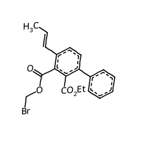 CC=Cc1ccc(-c2ccccc2)c(C(=O)OCC)c1C(=O)OCBr